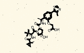 Cc1ncsc1-c1ccc([C@H](C)NC(=O)[C@@H]2C[C@@H](O)CN2C(=O)[C@@H](NC(=O)C2(F)CC2)C(C)(C)C)c(OCC(=O)O)c1